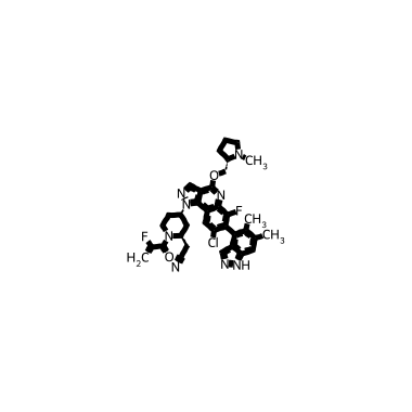 C=C(F)C(=O)N1CC[C@H](n2ncc3c(OC[C@@H]4CCCN4C)nc4c(F)c(-c5c(C)c(C)cc6[nH]ncc56)c(Cl)cc4c32)C[C@H]1CC#N